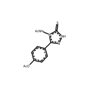 CC(=O)Nn1c(-c2ccc(OC(C)=O)cc2)n[nH]c1=S